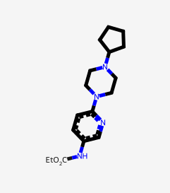 CCOC(=O)Nc1ccc(N2CCN(C3CCCC3)CC2)nc1